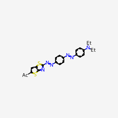 CCN(CC)c1ccc(N=Nc2ccc(N=Nc3nc4sc(C(C)=O)cc4s3)cc2)cc1